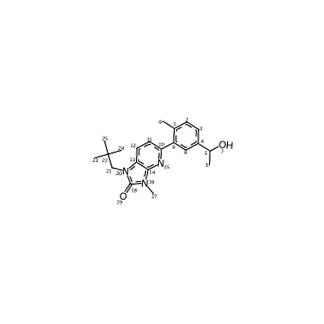 Cc1ccc(C(C)O)cc1-c1ccc2c(n1)n(C)c(=O)n2CC(C)(C)C